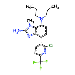 CCCN(CCC)c1ccc(-c2ccc(C(F)(F)F)nc2Cl)c2nc(N)n(C)c12